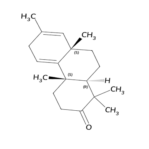 CC1=C[C@]2(C)CC[C@H]3C(C)(C)C(=O)CC[C@]3(C)C2=CC1